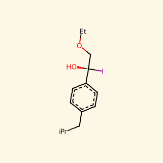 CCOC[C@](O)(I)c1ccc(CC(C)C)cc1